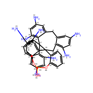 Nc1cc(N)c2c(c1)Cc1cc(N)cc(N)c1C1(c3c(N)cc(N)cc3Cc3cc(N)cc(N)c31)C1(C2)c2ccccc2OP(O)Oc2ccccc21